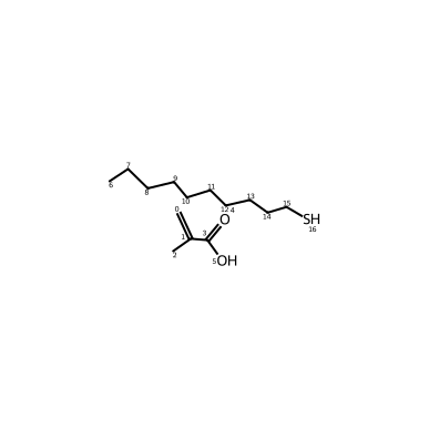 C=C(C)C(=O)O.CCCCCCCCCCS